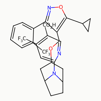 O=C(O)c1cnc(N2C3CCC2CC(OCc2c(-c4ccccc4C(F)(F)F)noc2C2CC2)C3)cc1C(F)(F)F